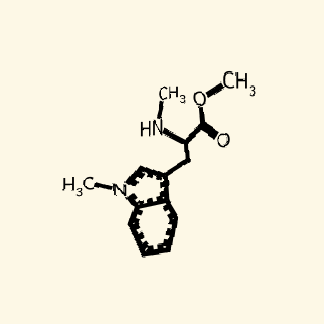 CNC(Cc1cn(C)c2ccccc12)C(=O)OC